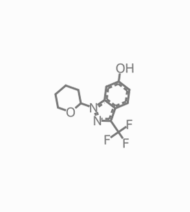 Oc1ccc2c(C(F)(F)F)nn(C3CCCCO3)c2c1